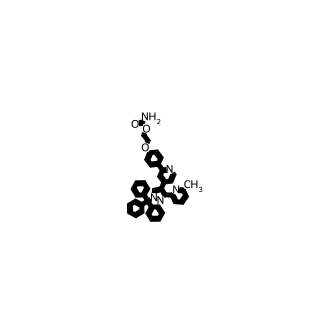 Cc1cccc(-c2nn(C(c3ccccc3)(c3ccccc3)c3ccccc3)cc2-c2ccnc(-c3ccc(OCCOC(N)=O)cc3)c2)n1